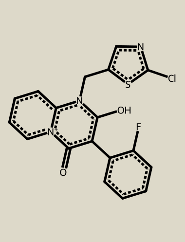 O=c1c(-c2ccccc2F)c(O)n(Cc2cnc(Cl)s2)c2cccc[n+]12